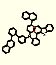 c1cc(-c2ccccc2-c2ccc3ccccc3c2)cc(N(c2ccc(-c3cccc4ccccc34)cc2)c2ccccc2-c2cccc3c2sc2ccccc23)c1